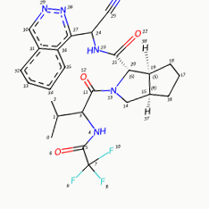 CC(C)C(NC(=O)C(F)(F)F)C(=O)N1C[C@@H]2CCC[C@@H]2[C@H]1C(=O)NC(C#N)c1nncc2ccccc12